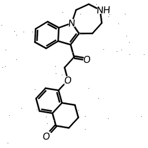 O=C1CCCc2c(OCC(=O)c3c4n(c5ccccc35)CCNCC4)cccc21